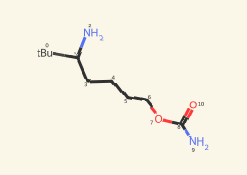 CC(C)(C)C(N)CCCCOC(N)=O